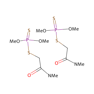 CNC(=O)CSP(=S)(OC)OC.CNC(=O)CSP(=S)(OC)OC